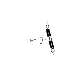 [H+].[O]=[Ti]=[O].[Ti]